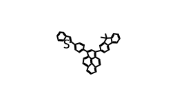 CC1(C)c2ccccc2-c2ccc(-c3cc(-c4ccc(-c5cc6ccccc6s5)cc4)c4ccc5cccc6ccc3c4c56)cc21